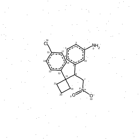 Nc1cccc(C(C[N+](=O)[O-])C2(c3ccc(Cl)cc3)CCC2)c1